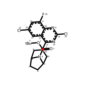 CC(C)(C)OC(=O)N1C2CCC1CN(c1nc(Cl)nc3c(F)cc(Cl)cc13)C2